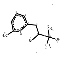 Cc1cccc(CC(Br)C(C)(C)O)n1